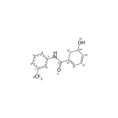 O=C(Nc1cccc(C(F)(F)F)c1)C1=CC=CC(O)C1